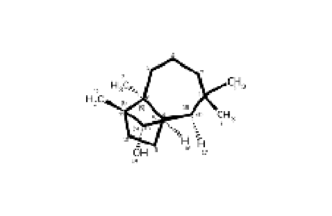 CC1(C)CCC[C@@]2(C)[C@@H]3CC[C@@]2(C)[C@@H](O)[C@@H]31